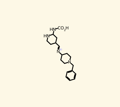 O=C(O)NC1CC(/C=N/C2CCN(Cc3ccccc3)CC2)CCN1